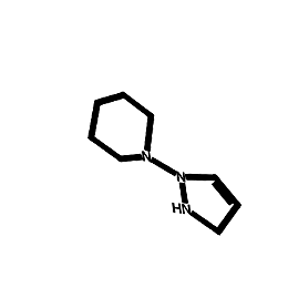 C1=CN(N2CCCCC2)NC1